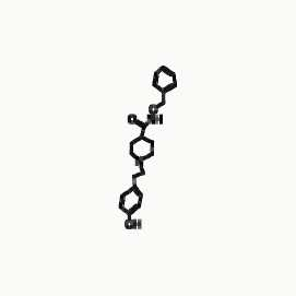 O=C(NOCc1ccccc1)C1CCN(CCc2ccc(O)cc2)CC1